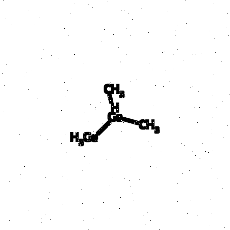 [CH3][GeH]([CH3])[GeH3]